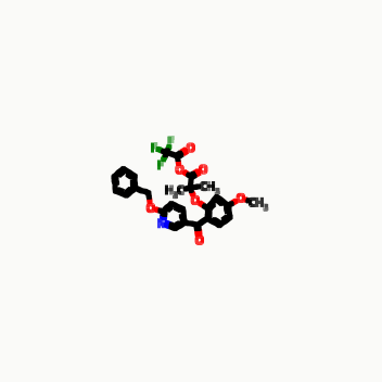 COc1ccc(C(=O)c2ccc(OCc3ccccc3)nc2)c(OC(C)(C)C(=O)OC(=O)C(F)(F)F)c1